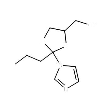 CCCC1(n2ccnc2)OCC(CO)O1